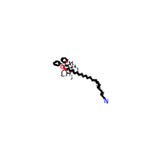 CC(CCCCCCCCCCCC/C=C\CCCC#N)O[Si](c1ccccc1)(c1ccccc1)C(C)(C)C